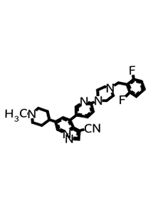 CN1CCC(c2cc(-c3ccc(N4CCN(Cc5c(F)cccc5F)CC4)nc3)c3c(C#N)cnn3c2)CC1